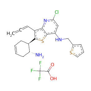 C=C=Cc1c([C@@H]2CC=CC[C@H]2N)sc2c(NCc3cccs3)cc(Cl)nc12.O=C(O)C(F)(F)F